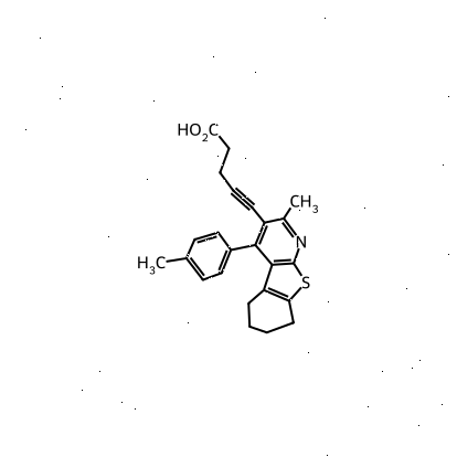 Cc1ccc(-c2c(C#CCCC(=O)O)c(C)nc3sc4c(c23)CCCC4)cc1